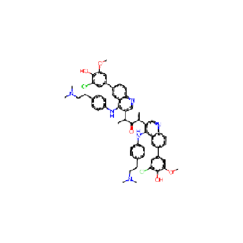 COc1cc(-c2ccc3ncc(C(C)C(=O)C(C)c4cnc5ccc(-c6cc(Cl)c(O)c(OC)c6)cc5c4Nc4ccc(CCN(C)C)cc4)c(Nc4ccc(CCN(C)C)cc4)c3c2)cc(Cl)c1O